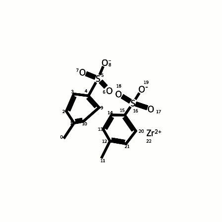 Cc1ccc(S(=O)(=O)[O-])cc1.Cc1ccc(S(=O)(=O)[O-])cc1.[Zr+2]